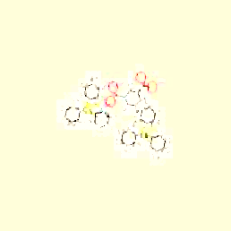 O=C([O-])c1cccc(C(=O)[O-])c1.c1ccc([S+](c2ccccc2)c2ccccc2)cc1.c1ccc([S+](c2ccccc2)c2ccccc2)cc1